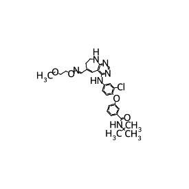 COCCON=CC1=Cc2c(ncnc2Nc2ccc(Oc3cccc(C(=O)NC(C)(C)C)c3)c(Cl)c2)NCC1